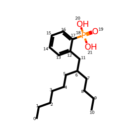 CCCCCCC(CCCC)Cc1ccccc1P(=O)(O)O